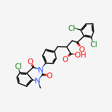 Cn1c(=O)n(-c2ccc(CC(CC(=O)c3c(Cl)cccc3Cl)C(=O)O)cc2)c(=O)c2c(Cl)cccc21